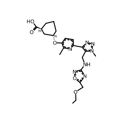 CCOCc1nc(NCc2c(-c3ccc(O[C@H]4CCC[C@H](C(=O)O)C4)c(C)n3)nnn2C)no1